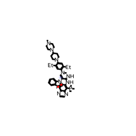 C=P(C)(C)c1c(NC(=N)/C(=C\N(C)c2cc(CC)c(N3CCC(N4CCN(C)CC4)CC3)cc2CC)n2nnc3ccccc32)ccc2nccnc12